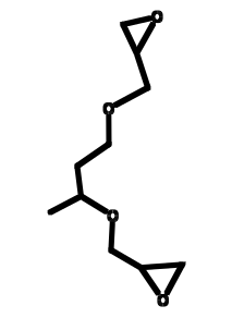 CC(CCOCC1CO1)OCC1CO1